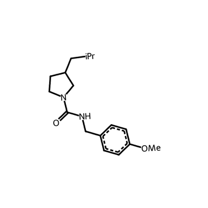 COc1ccc(CNC(=O)N2CCC(CC(C)C)C2)cc1